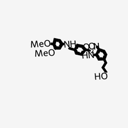 COc1ccc(NCc2ccc(C(=O)Nc3cc(CCCO)ccc3[N+](=O)[O-])cc2)cc1OC